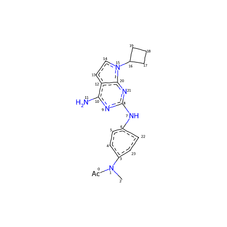 CC(=O)N(C)c1ccc(Nc2nc(N)c3ccn(C4CCC4)c3n2)cc1